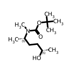 C[C@H](O)CC[C@H](C)N(C)C(=O)OC(C)(C)C